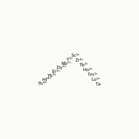 [Dy+3].[Er+3].[Hf+4].[Ho+3].[Lu+3].[Nb+2].[Sc+3].[Ta].[Tb+3].[Th+4].[Tm+3].[Y+3].[Yb+3].[Zr+4]